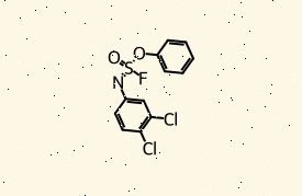 O=S(F)(=Nc1ccc(Cl)c(Cl)c1)Oc1ccccc1